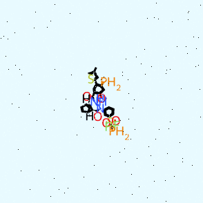 COc1cc(P)c(-c2cc(C)cs2)cc1C(=O)N[C@H]1[C@@H](C(=O)Nc2cccc(S(=O)(=O)C(F)(F)P)c2)[C@H]2C=C[C@H]1C2